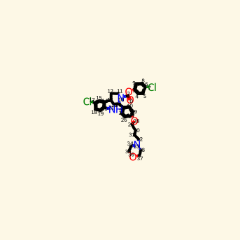 O=C(Oc1ccc(Cl)cc1)N1CCC2c3cc(Cl)ccc3NC2C1c1ccc(OCCCCN2CCOCC2)cc1